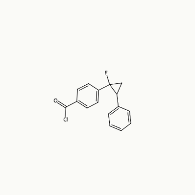 O=C(Cl)c1ccc(C2(F)CC2c2ccccc2)cc1